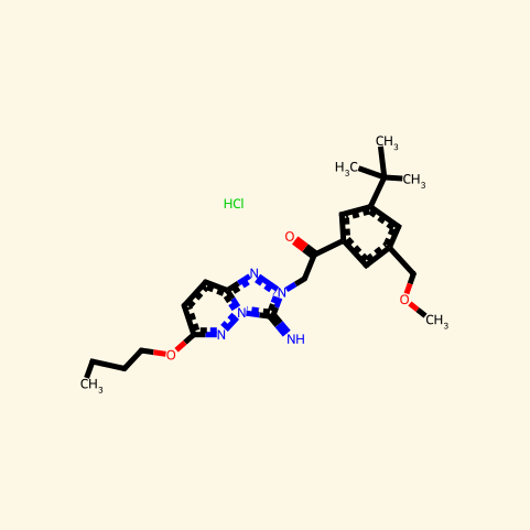 CCCCOc1ccc2nn(CC(=O)c3cc(COC)cc(C(C)(C)C)c3)c(=N)n2n1.Cl